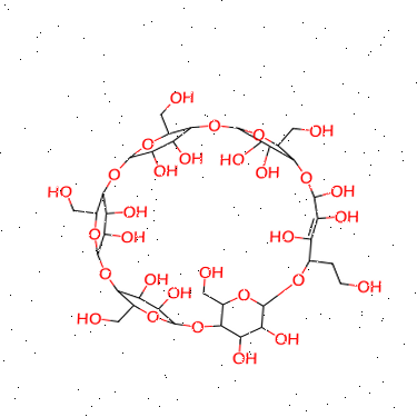 OCCC1OC2OC(CO)C(OC3OC(CO)C(OC4OC(CO)C(OC5OC(CO)C(OC6OC(CO)C(OC(O)/C(O)=C/1O)C(O)C6O)C(O)C5O)C(O)C4O)C(O)C3O)C(O)C2O